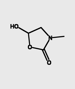 CN1CC(O)OC1=O